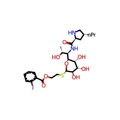 CCC[C@H]1CN[C@H](C(=O)N[C@@H]([C@H]2O[C@H](SCCOC(=O)c3ccccc3I)[C@H](O)[C@@H](O)[C@H]2O)[C@@H](C)O)C1